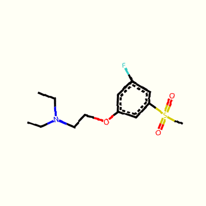 CCN(CC)CCOc1cc(F)cc(S(C)(=O)=O)c1